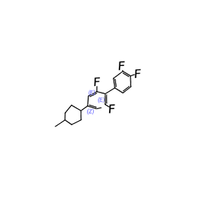 C\C=C(/C=C(F)\C(=C\F)c1ccc(F)c(F)c1)C1CCC(C)CC1